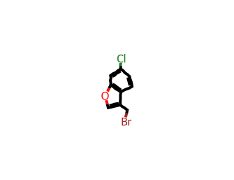 Clc1ccc2c(CBr)coc2c1